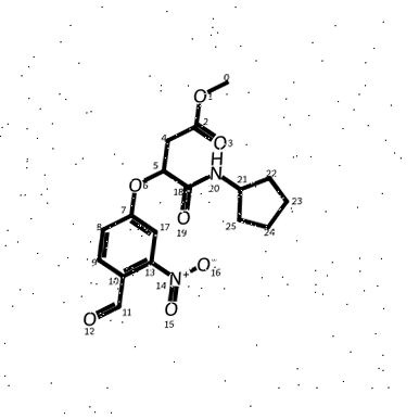 COC(=O)CC(Oc1ccc(C=O)c([N+](=O)[O-])c1)C(=O)NC1CCCC1